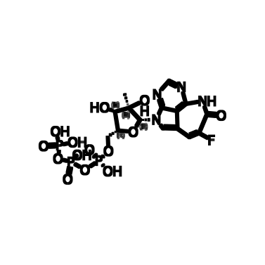 C[C@@]1(O)[C@H](O)[C@@H](COP(=O)(O)OP(=O)(O)OP(=O)(O)O)O[C@H]1n1cc2c3c(ncnc31)NC(=O)C(F)=C2